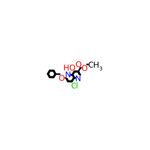 CCOC(=O)c1cnc2c(Cl)cc(OCc3ccccc3)nc2c1O